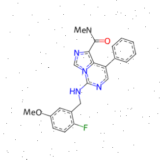 CNC(=O)c1ncn2c(NCc3cc(OC)ccc3F)ncc(-c3ccccc3)c12